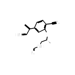 C=C(C=N)c1ccc(C#N)c(O[C@@H](C)CNC=N)c1